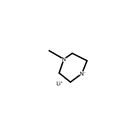 CN1CC[N-]CC1.[Li+]